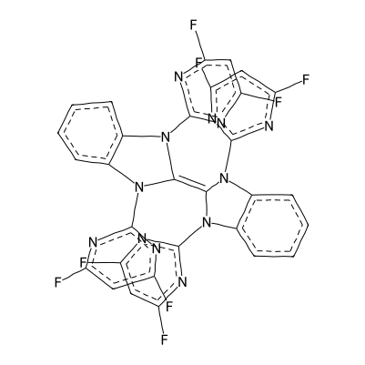 Fc1cc(F)nc(N2C(=C3N(c4nc(F)cc(F)n4)c4ccccc4N3c3nc(F)cc(F)n3)N(c3nc(F)cc(F)n3)c3ccccc32)n1